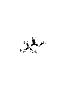 CCOC(=O)[N+](C)(C)CC